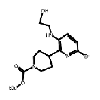 CC(C)(C)OC(=O)N1CCC(c2nc(Br)ccc2NCCO)CC1